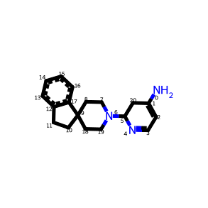 NC1=CC=NC(N2CCC3(CCc4ccccc43)CC2)C1